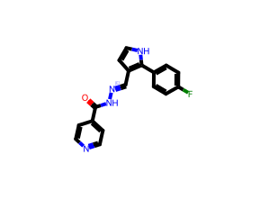 O=C(N/N=C/c1cc[nH]c1-c1ccc(F)cc1)c1ccncc1